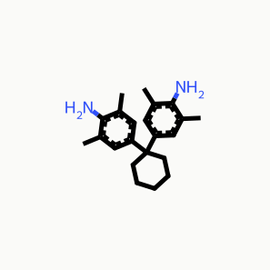 Cc1cc(C2(c3cc(C)c(N)c(C)c3)CCCCC2)cc(C)c1N